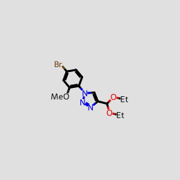 CCOC(OCC)c1cn(-c2ccc(Br)cc2OC)nn1